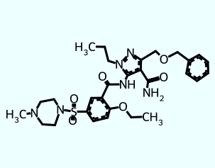 CCCn1nc(COCc2ccccc2)c(C(N)=O)c1NC(=O)c1cc(S(=O)(=O)N2CCN(C)CC2)ccc1OCC